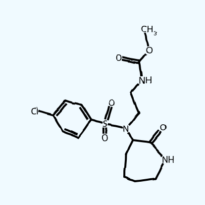 COC(=O)NCCN(C1CCCCNC1=O)S(=O)(=O)c1ccc(Cl)cc1